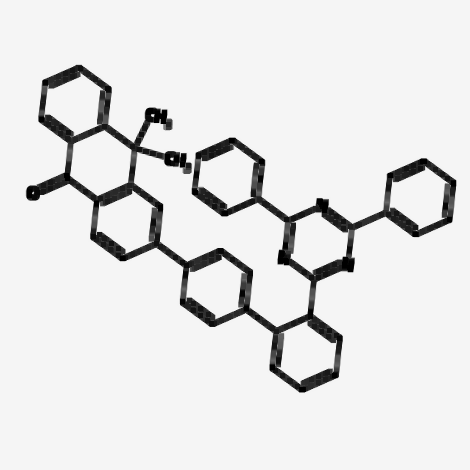 CC1(C)c2ccccc2C(=O)c2ccc(-c3ccc(-c4ccccc4-c4nc(-c5ccccc5)nc(-c5ccccc5)n4)cc3)cc21